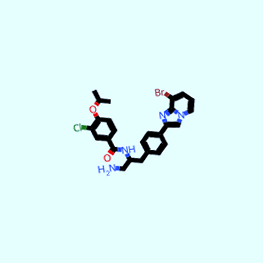 CC(C)Oc1ccc(C(=O)NC(CN)Cc2ccc(-c3cn4cccc(Br)c4n3)cc2)cc1Cl